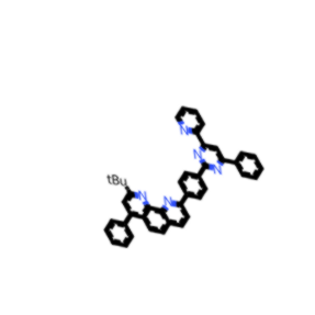 CC(C)(C)c1cc(-c2ccccc2)c2ccc3ccc(-c4ccc(-c5nc(-c6ccccc6)cc(-c6ccccn6)n5)cc4)nc3c2n1